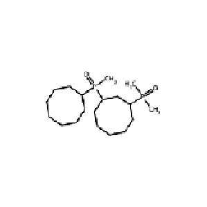 CP(C)(=O)C1CCCCCC(P(C)(=O)C2CCCCCCC2)C1